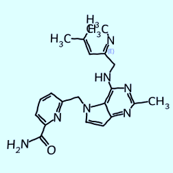 C/N=C(\C=C(C)C)CNc1nc(C)nc2ccn(Cc3cccc(C(N)=O)n3)c12